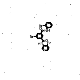 O=C(Nc1ccccc1Br)c1cc(Br)cc(C(=O)Nc2ccccc2Br)c1